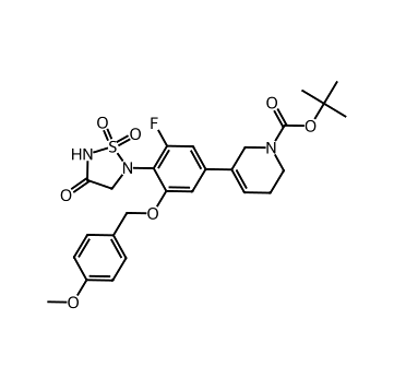 COc1ccc(COc2cc(C3=CCCN(C(=O)OC(C)(C)C)C3)cc(F)c2N2CC(=O)NS2(=O)=O)cc1